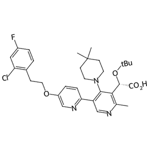 Cc1ncc(-c2ccc(OCCc3ccc(F)cc3Cl)cn2)c(N2CCC(C)(C)CC2)c1[C@H](OC(C)(C)C)C(=O)O